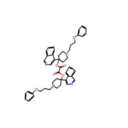 O=C(OC1(c2cncc3ccccc23)CCN(CCCOc2ccccc2)CC1)C(=O)OC1(c2cncc3ccccc23)CCN(CCCOc2ccccc2)CC1